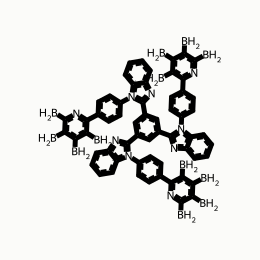 Bc1nc(-c2ccc(-n3c(-c4cc(-c5nc6ccccc6n5-c5ccc(-c6nc(B)c(B)c(B)c6B)cc5)cc(-c5nc6ccccc6n5-c5ccc(-c6nc(B)c(B)c(B)c6B)cc5)c4)nc4ccccc43)cc2)c(B)c(B)c1B